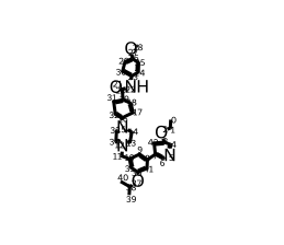 CCOc1cncc(-c2cc(CN3CCN(c4ccc(C(=O)Nc5ccc(OC)cc5)cc4)CC3)cc(OC(C)C)c2)c1